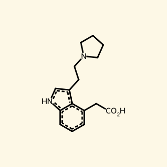 O=C(O)Cc1cccc2[nH]cc(CCN3CCCC3)c12